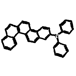 c1ccc(N(c2ccccc2)c2ccc3c(ccc4c3ccc3ccc5ccccc5c34)c2)cc1